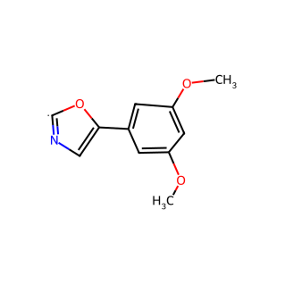 COc1cc(OC)cc(-c2cn[c]o2)c1